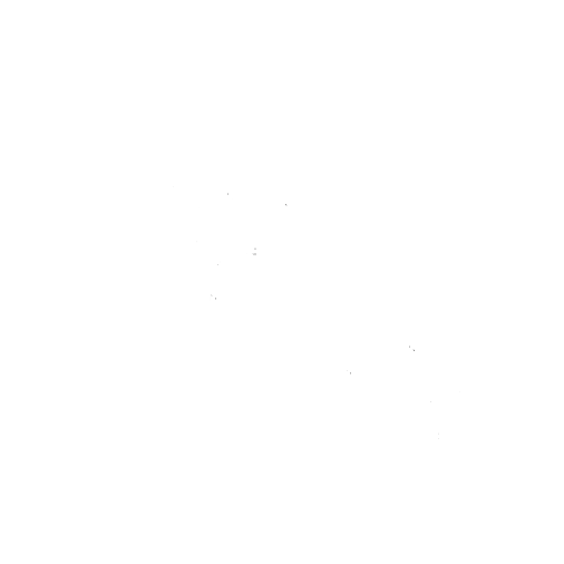 CNC(=O)N/C(=N\c1ccc(Oc2cncc(C(=O)O)n2)cc1)NCc1ccc(C)cc1